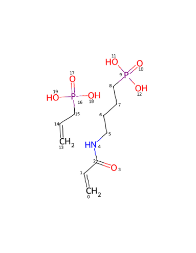 C=CC(=O)NCCCCP(=O)(O)O.C=CCP(=O)(O)O